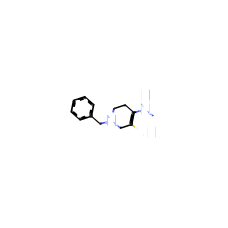 CNC1=C(S)CN(Cc2ccccc2)CC1